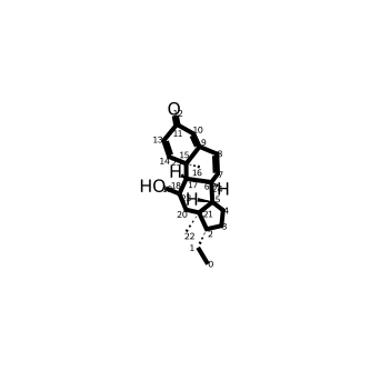 CC[C@H]1CC[C@H]2[C@@H]3C=CC4=CC(=O)C=C[C@]4(C)[C@H]3C(O)C[C@]12C